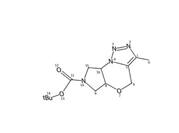 Cc1nnn2c1COC1CN(C(=O)OC(C)(C)C)CC12